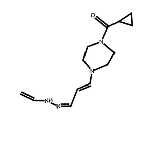 C=CN/N=C\C=C\N1CCN(C(=O)C2CC2)CC1